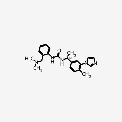 Cc1ccc([C@H](C)NC(=O)Nc2ccccc2CN(C)C)cc1-n1ccnc1